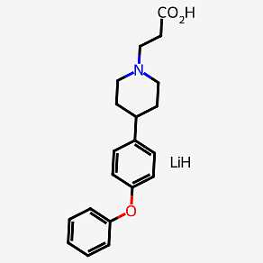 O=C(O)CCN1CCC(c2ccc(Oc3ccccc3)cc2)CC1.[LiH]